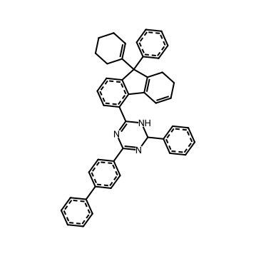 C1=CC2=C(CC1)C(C1=CCCCC1)(c1ccccc1)c1cccc(C3=NC(c4ccc(-c5ccccc5)cc4)=NC(c4ccccc4)N3)c12